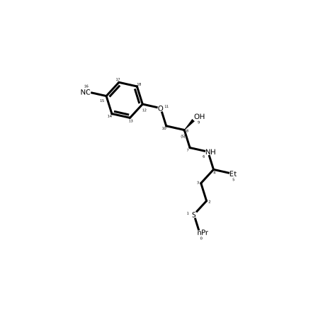 CCCSCCC(CC)NC[C@H](O)COc1ccc(C#N)cc1